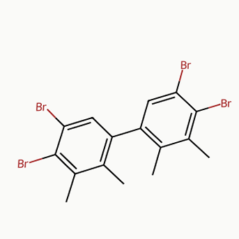 Cc1c(-c2cc(Br)c(Br)c(C)c2C)cc(Br)c(Br)c1C